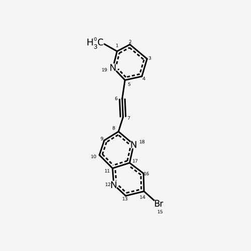 Cc1cccc(C#Cc2ccc3ncc(Br)cc3n2)n1